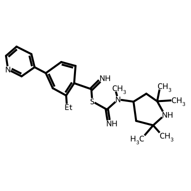 CCc1cc(-c2cccnc2)ccc1C(=N)SC(=N)N(C)C1CC(C)(C)NC(C)(C)C1